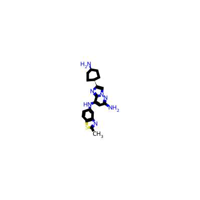 Cc1nc2cc(Nc3cc(N)nn4cc([C@H]5CC[C@H](N)CC5)nc34)ccc2s1